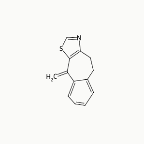 C=C1c2ccccc2CCc2ncsc21